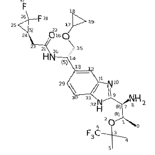 C[C@@H](OC(C)(C)C(F)(F)F)[C@H](N)c1nc2cc([C@@H](COC3CC3)NC(=O)C[C@H]3CC3(F)F)ccc2[nH]1